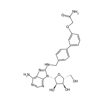 NC(=O)COc1cccc(-c2ccc(CNc3nc4c(N)ncnc4n3[C@@H]3O[C@H](CO)[C@@H](O)[C@H]3O)cc2)c1